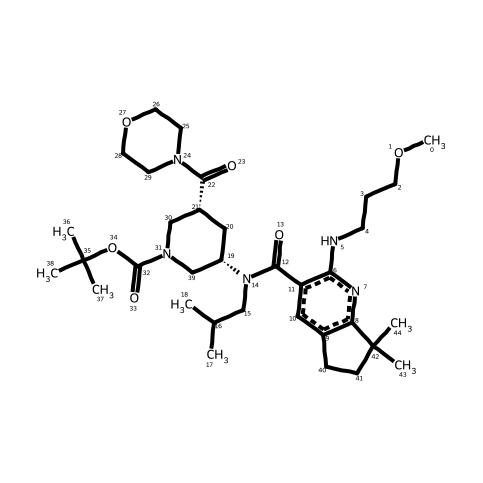 COCCCNc1nc2c(cc1C(=O)N(CC(C)C)[C@H]1C[C@@H](C(=O)N3CCOCC3)CN(C(=O)OC(C)(C)C)C1)CCC2(C)C